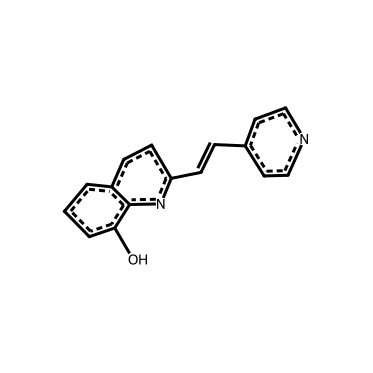 Oc1cccc2ccc(/C=C/c3ccncc3)nc12